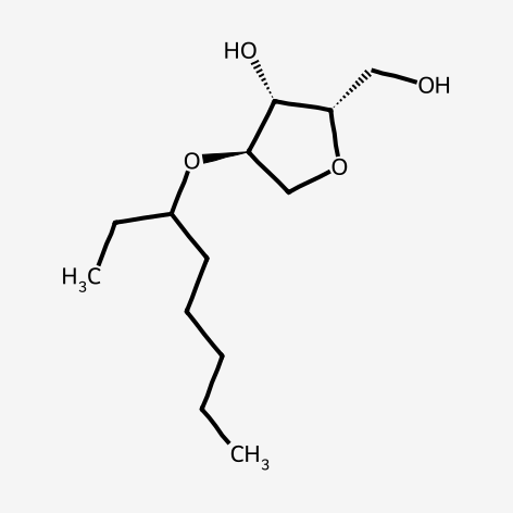 CCCCCC(CC)O[C@@H]1CO[C@@H](CO)[C@H]1O